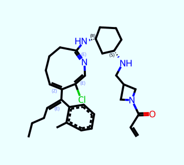 C=CC(=O)N1CC(CN[C@H]2CCC[C@@H](N/C3=N/C=C(Cl)\C(C(=C\CCC)\c4ccccc4C)=C/CCC3)C2)C1